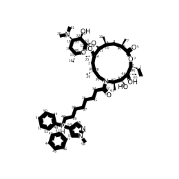 CC[C@H]1OC(=O)[C@H](C)C[C@H](C)[C@@H](O[C@@H]2O[C@H](C)C[C@H](N(C)C)[C@H]2O)[C@](C)(O)C[C@@H](C)CN(C(=O)CCCCCCC[PH](c2ccccc2)(c2ccccc2)c2cnn(C)c2)[C@H](C)[C@@H](O)[C@]1(C)O